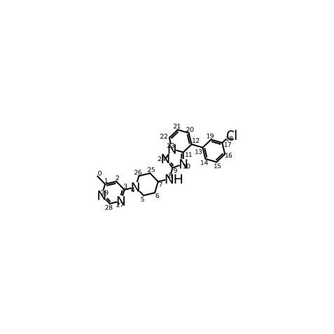 Cc1cc(N2CCC(Nc3nc4c(-c5cccc(Cl)c5)cccn4n3)CC2)ncn1